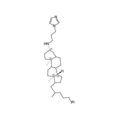 CC(C)CCCC(C)CC1CC[C@H]2C3CCC4C[C@@H](NCCCn5ccnc5)CC[C@]4(C)C3CC[C@]12C